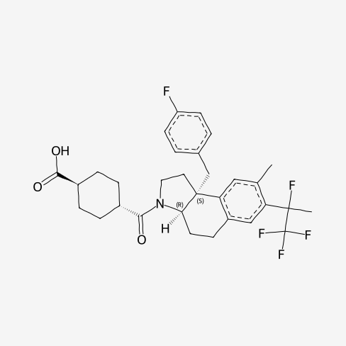 Cc1cc2c(cc1C(C)(F)C(F)(F)F)CC[C@H]1N(C(=O)[C@H]3CC[C@H](C(=O)O)CC3)CC[C@@]21Cc1ccc(F)cc1